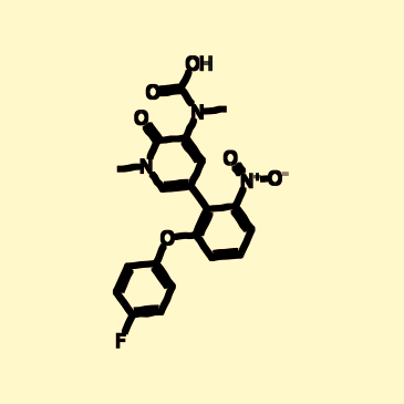 CN(C(=O)O)c1cc(-c2c(Oc3ccc(F)cc3)cccc2[N+](=O)[O-])cn(C)c1=O